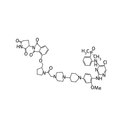 COc1cc(N2CCC(N3CCN(CC(=O)N4CCCC4COc4cccc5c4C(=O)N(C4CCC(=O)NC4=O)C5=O)CC3)CC2)ccc1Nc1ncc(Cl)c(Nc2ccccc2P(C)(C)=O)n1